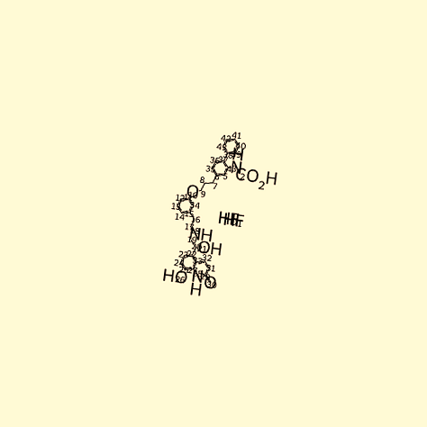 F.F.O=C(O)Nc1cc(CCCOc2cccc(CCNC[C@H](O)c3ccc(O)c4[nH]c(=O)ccc34)c2)ccc1-c1ccccc1